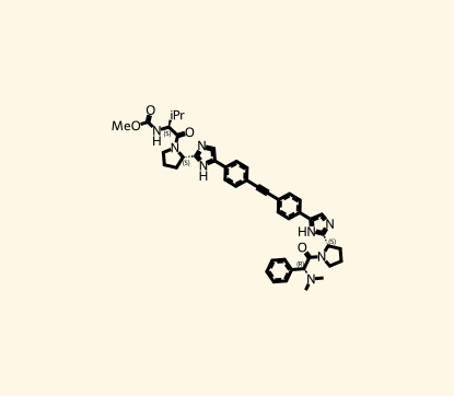 COC(=O)N[C@H](C(=O)N1CCC[C@H]1c1ncc(-c2ccc(C#Cc3ccc(-c4cnc([C@@H]5CCCN5C(=O)[C@@H](c5ccccc5)N(C)C)[nH]4)cc3)cc2)[nH]1)C(C)C